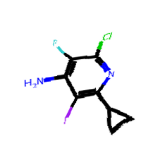 Nc1c(F)c(Cl)nc(C2CC2)c1I